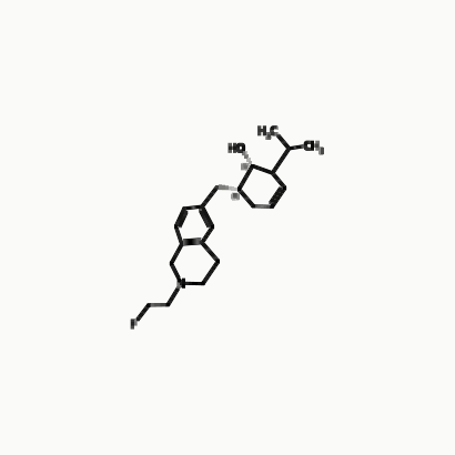 CC(C)C1C=CC[C@H](Cc2ccc3c(c2)CCN(CCF)C3)[C@@H]1O